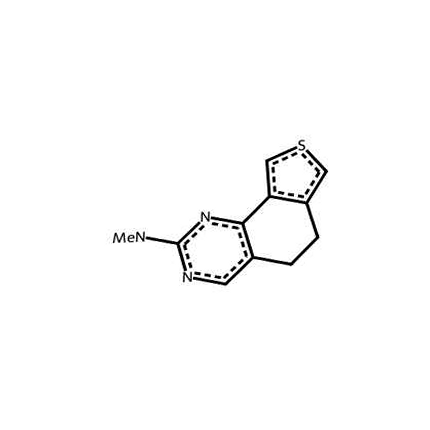 CNc1ncc2c(n1)-c1cscc1CC2